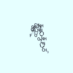 Cc1ccc(C(=O)Nc2ccc(F)c([C@]34CO[C@H](CF)[C@H]3S(=O)(=O)N(C)C(=N)N4)c2)nc1